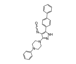 O=C=Nc1c(N2CCN(c3ccccc3)CC2)n[nH]c1-c1ccc(-c2ccccc2)cc1